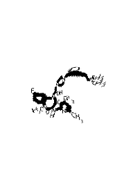 Cc1cc(C(F)(F)F)c(C#N)c(N[C@H]2CCN(C[C@H](O)CN3CCN(C(=O)/C=C/CN(C)C)CC3)c3cc(F)ccc3N(C)C2=O)n1